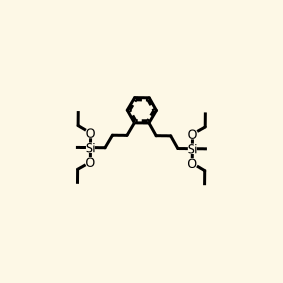 CCO[Si](C)(CCCc1ccccc1CCC[Si](C)(OCC)OCC)OCC